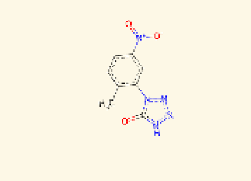 Cc1ccc([N+](=O)[O-])cc1-n1nn[nH]c1=O